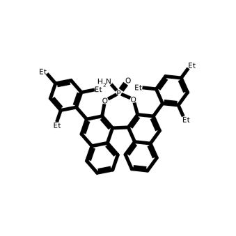 CCc1cc(CC)c(-c2cc3ccccc3c3c2OP(N)(=O)Oc2c(-c4c(CC)cc(CC)cc4CC)cc4ccccc4c2-3)c(CC)c1